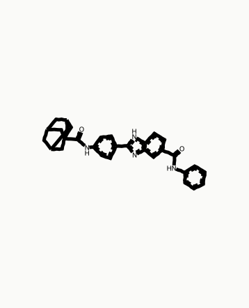 O=C(Nc1ccccc1)c1ccc2[nH]c(-c3ccc(NC(=O)C45CC6CC(CC(C6)C4)C5)cc3)nc2c1